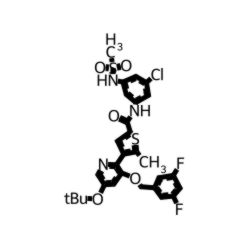 Cc1sc(C(=O)Nc2cc(Cl)cc(NS(C)(=O)=O)c2)cc1-c1ncc(OC(C)(C)C)cc1OCc1cc(F)cc(F)c1